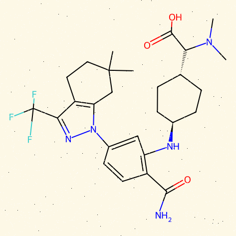 CN(C)C(C(=O)O)[C@H]1CC[C@H](Nc2cc(-n3nc(C(F)(F)F)c4c3CC(C)(C)CC4)ccc2C(N)=O)CC1